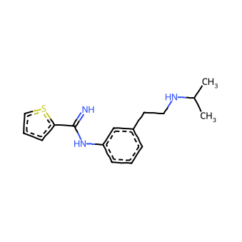 CC(C)NCCc1cccc(NC(=N)c2cccs2)c1